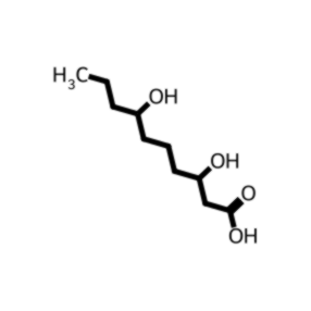 CCCC(O)CCCC(O)CC(=O)O